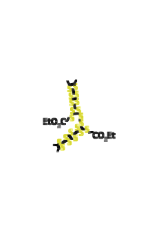 CCOC(=O)CCSC1=C(SCSC2=C(SCCC(=O)OCC)SC(=C3SC4=C(SC(=C5SC(C)=C(C)S5)S4)S3)S2)SC(=C2SC3=C(SC(=C4SC(C)=C(C)S4)S3)S2)S1